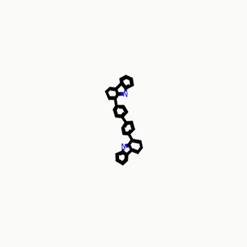 C1=C(c2ccc(-c3ccc(C4=CCC=C5C4=Nc4ccccc45)cc3)cc2)C2=Nc3ccccc3C2=CC1